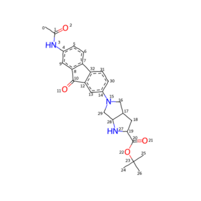 CC(=O)Nc1ccc2c(c1)C(=O)c1cc(N3CC4CC(C(=O)OC(C)(C)C)NC4C3)ccc1-2